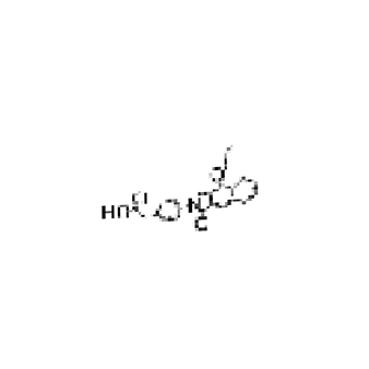 CCCOc1c2c(cc3ccccc13)C(=O)N(c1ccc(CC(=O)O)cc1)C2